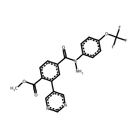 COC(=O)c1ccc(C(=O)N(N)c2ccc(OC(F)(F)F)cc2)cc1-c1cncnc1